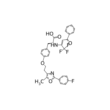 Cc1oc(-c2ccc(F)cc2)nc1CCOc1ccc(C[C@H](NC(=CC(=O)c2ccccc2)C(F)(F)F)C(=O)O)cc1